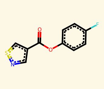 O=C(Oc1ccc(F)cc1)c1cnsc1